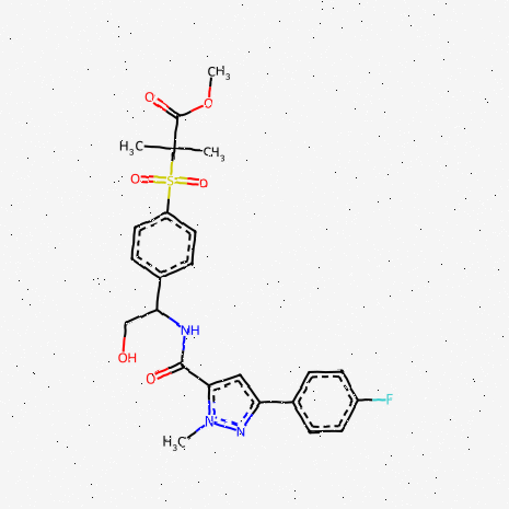 COC(=O)C(C)(C)S(=O)(=O)c1ccc(C(CO)NC(=O)c2cc(-c3ccc(F)cc3)nn2C)cc1